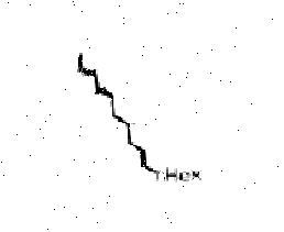 CC=CC=CC[CH]CC=CCCCCCC